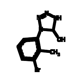 Cc1c(Br)cccc1N1N=NNC1O